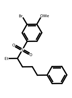 CCC(CCCc1ccccc1)S(=O)(=O)c1ccc(OC)c(Br)c1